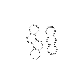 c1ccc2c(c1)ccc1c3c(ccc12)CCCC3.c1ccc2cc3ccccc3cc2c1